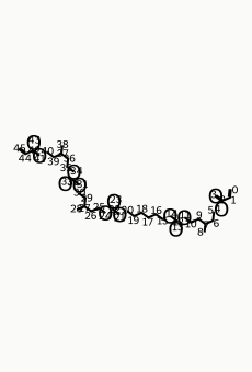 C=CC(=O)OCCC(C)CCOC(=O)OCCCCCCOC(=O)OCCC(C)CCOC(=O)OCCC(C)CCOC(=O)C=C